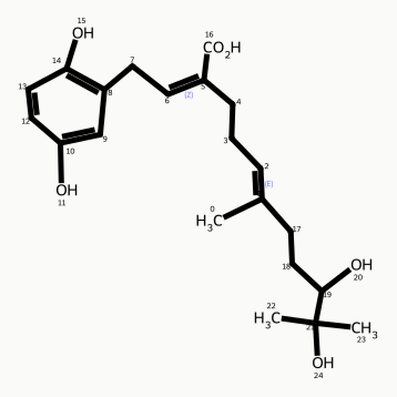 C/C(=C\CC/C(=C/Cc1cc(O)ccc1O)C(=O)O)CCC(O)C(C)(C)O